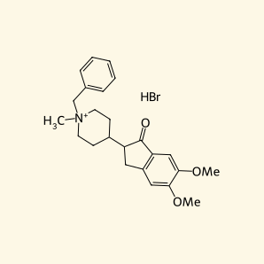 Br.COc1cc2c(cc1OC)C(=O)C(C1CC[N+](C)(Cc3ccccc3)CC1)C2